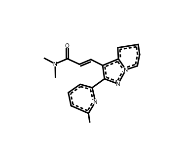 Cc1cccc(-c2nn3ccccc3c2C=CC(=O)N(C)C)n1